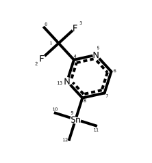 CC(F)(F)c1ncc[c]([Sn]([CH3])([CH3])[CH3])n1